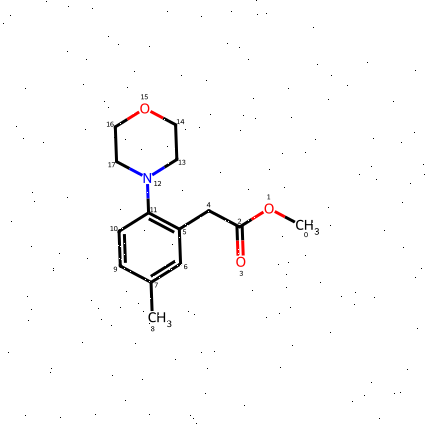 COC(=O)Cc1cc(C)ccc1N1CCOCC1